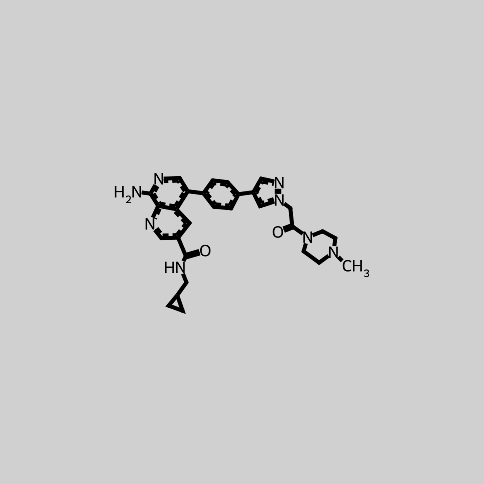 CN1CCN(C(=O)Cn2cc(-c3ccc(-c4cnc(N)c5ncc(C(=O)NCC6CC6)cc45)cc3)cn2)CC1